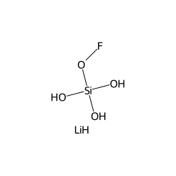 O[Si](O)(O)OF.[LiH]